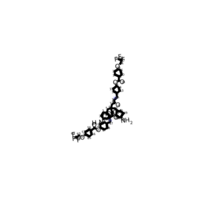 Nc1ccc(CC(CC(=O)/C=C/c2ccc(OC(=O)c3ccc(OCC(F)(F)F)cc3)cc2)(Cc2ccc(N)cc2)C(O)(O)C(=O)/C=C/c2ccc(OC(=O)c3ccc(OCC(F)(F)F)cc3)cc2)cc1